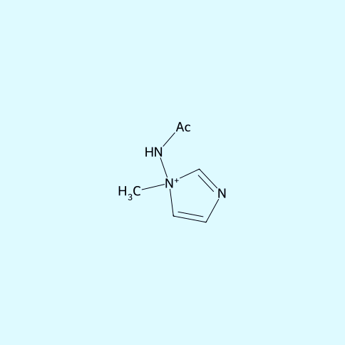 [CH2]C(=O)N[N+]1(C)C=CN=C1